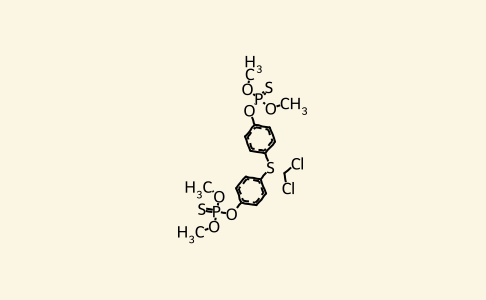 COP(=S)(OC)Oc1ccc(Sc2ccc(OP(=S)(OC)OC)cc2)cc1.ClCCl